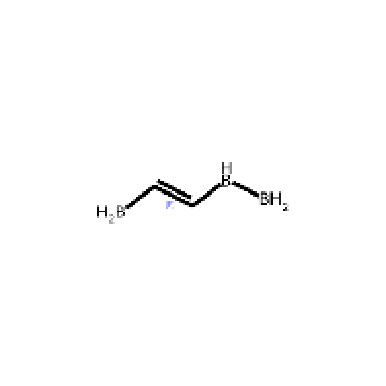 BB/C=C/B